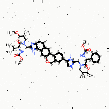 C=C[C@@H](C)CN(Cc1ncc(-c2ccc3c(c2)COc2cc4c(ccc5nc(CN(C[C@H](C)COC)C(=O)[C@@H](NC(=O)OC)C(C)C)[nH]c54)cc2-3)[nH]1)C(=O)[C@H](NC(=O)OC)c1ccccc1